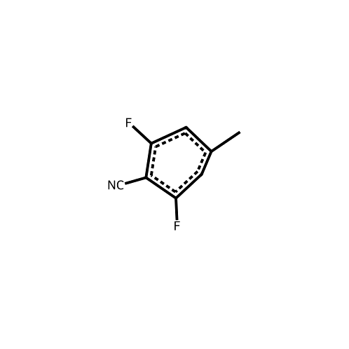 Cc1cc(F)c(C#N)c(F)c1